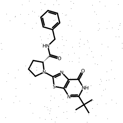 CC(C)(C)c1nc2sc(N3CCC[C@@H]3C(=O)NCc3ccccc3)nc2c(=O)[nH]1